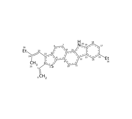 C=Cc1sc2c(ccc3c2ccc2c4cc(CC)ccc4[nH]c23)c1/C=C(\C)CC